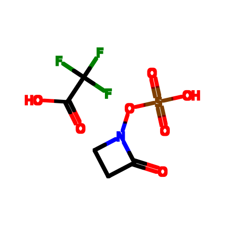 O=C(O)C(F)(F)F.O=C1CCN1OS(=O)(=O)O